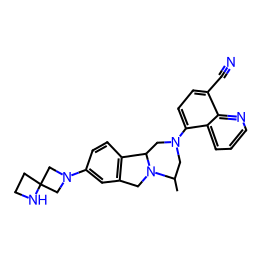 CC1CN(c2ccc(C#N)c3ncccc23)CC2c3ccc(N4CC5(CCN5)C4)cc3CN12